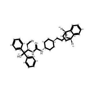 CC(C)C[C@@H](NC(=O)N[C@H]1CC[C@H](CCN2[C@@H]3CC[C@H]2c2ccccc23)CC1)C(O)(c1ccccc1)c1ccccc1